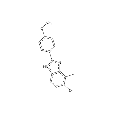 Cc1c([O])ccc2[nH]c(-c3ccc(OC(F)(F)F)cc3)nc12